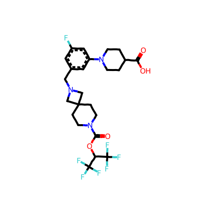 O=C(O)C1CCN(c2cc(F)cc(CN3CC4(CCN(C(=O)OC(C(F)(F)F)C(F)(F)F)CC4)C3)c2)CC1